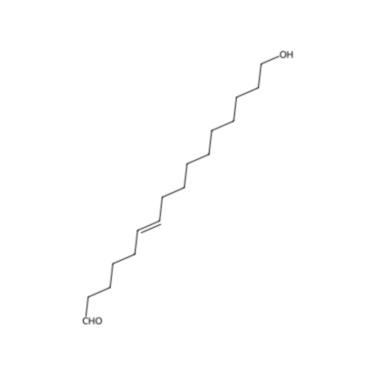 O=CCCCCC=CCCCCCCCCCO